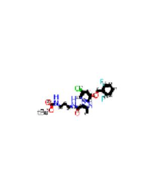 Cc1nc2c(OCc3c(F)cccc3F)cc(Cl)cn2c1C(=O)NCCCNC(=O)OC(C)(C)C